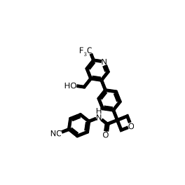 N#Cc1ccc(NC(=O)C2(c3ccc(-c4cnc(C(F)(F)F)cc4CO)cc3)COC2)cc1